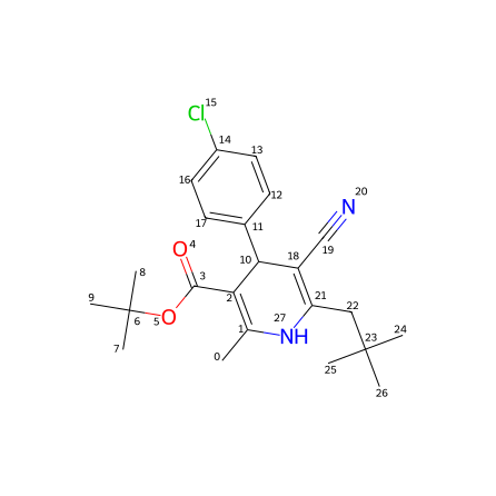 CC1=C(C(=O)OC(C)(C)C)C(c2ccc(Cl)cc2)C(C#N)=C(CC(C)(C)C)N1